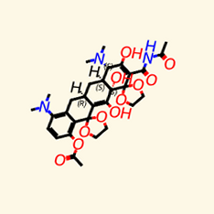 CC(=O)NC(=O)C1=C(O)[C@@H](N(C)C)[C@@H]2C[C@@H]3Cc4c(N(C)C)ccc(OC(C)=O)c4C4(OCCO4)C3=C(O)[C@]2(O)C12OCCO2